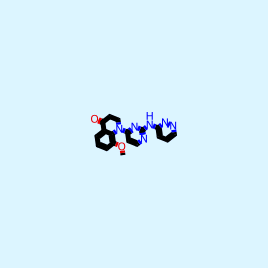 COc1cccc2c1N(c1ccnc(Nc3cccnn3)n1)CCC2=O